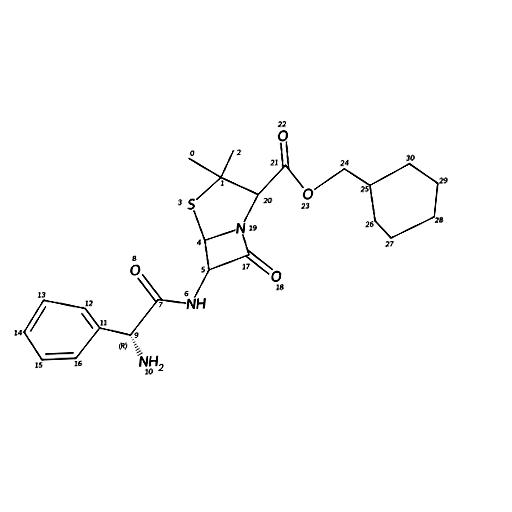 CC1(C)SC2C(NC(=O)[C@H](N)c3ccccc3)C(=O)N2C1C(=O)OCC1CCCCC1